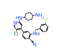 N#Cc1ccc(-c2cc(NC3CCC(N)CC3)ncc2Cl)cc1NCc1cccc(F)c1